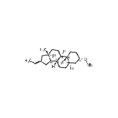 CC=C1C[C@@H]2[C@H]3CC[C@@H]4C[C@@H](OCCCC)CC[C@@]4(C)[C@@H]3CC[C@@]2(C)C1